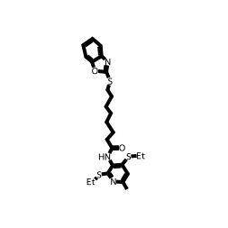 CCSc1cc(C)nc(SCC)c1NC(=O)CCCCCCCSc1nc2ccccc2o1